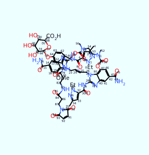 CCn1nc(C)cc1C(=O)Nc1nc2cc(C(N)=O)cc(OC)c2n1C/C=C/Cn1c(NC(=O)c2cc(C)nn2CC)nc2cc(C(N)=O)cc(OC(=O)N(C)CCN(C)C(=O)OCc3ccc(O[C@@H]4O[C@H](C(=O)O)[C@@H](O)[C@H](O)[C@H]4O)cc3NC(=O)CCNC(=O)CCN3C(=O)C=CC3=O)c21